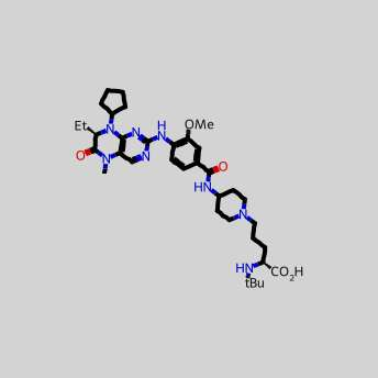 CC[C@@H]1C(=O)N(C)c2cnc(Nc3ccc(C(=O)NC4CCN(CCC[C@H](NC(C)(C)C)C(=O)O)CC4)cc3OC)nc2N1C1CCCC1